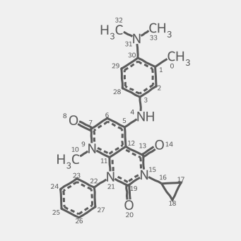 Cc1cc(Nc2cc(=O)n(C)c3c2c(=O)n(C2CC2)c(=O)n3-c2ccccc2)ccc1N(C)C